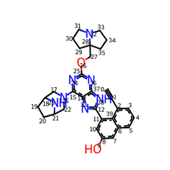 C#Cc1cccc2cc(O)cc(-c3nc4c(N5CC6CCC(C5)N6)nc(OCC56CCCN5CCC6)nc4[nH]3)c12